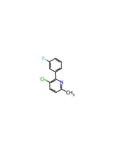 Cc1ccc(Cl)c(-c2cccc(F)c2)n1